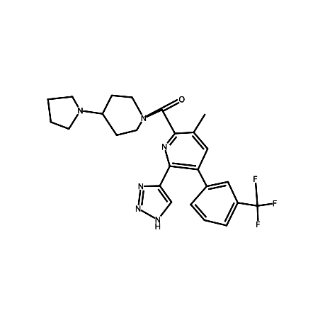 Cc1cc(-c2cccc(C(F)(F)F)c2)c(-c2c[nH]nn2)nc1C(=O)N1CCC(N2CCCC2)CC1